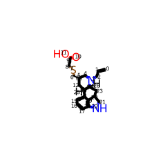 C=CCN1C[C@H](CSCC(=O)O)C[C@@H]2c3cccc4c3C(CN4)C[C@H]21